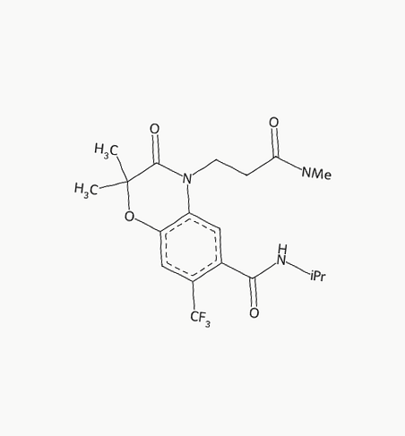 CNC(=O)CCN1C(=O)C(C)(C)Oc2cc(C(F)(F)F)c(C(=O)NC(C)C)cc21